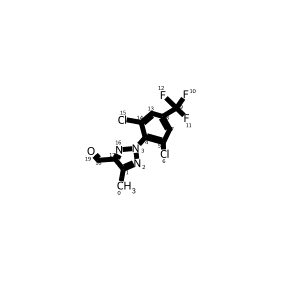 Cc1nn(-c2c(Cl)cc(C(F)(F)F)cc2Cl)nc1C=O